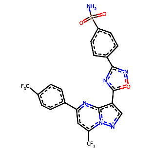 NS(=O)(=O)c1ccc(-c2noc(-c3cnn4c(C(F)(F)F)cc(-c5ccc(C(F)(F)F)cc5)nc34)n2)cc1